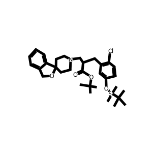 CC(C)(C)OC(=O)C(Cc1cc(O[Si](C)(C)C(C)(C)C)ccc1Cl)CN1CCC2(CC1)OCc1ccccc12